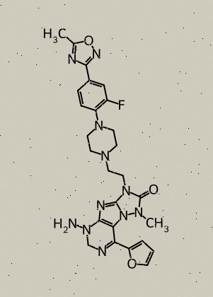 Cc1nc(-c2ccc(N3CCN(CCn4c(=O)n(C)n5c6c(nc45)N(N)CN=C6c4ccco4)CC3)c(F)c2)no1